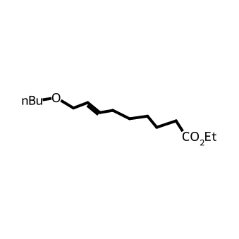 CCCCOC/C=C/CCCCCC(=O)OCC